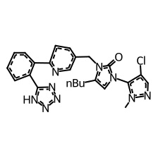 CCCCc1cn(-c2c(Cl)cnn2C)c(=O)n1Cc1ccc(-c2ccccc2-c2nnn[nH]2)nc1